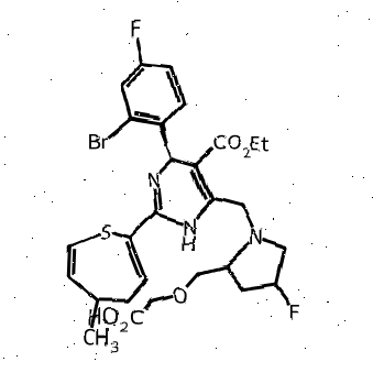 CCOC(=O)C1=C(CN2CC(F)CC2COCC(=O)O)NC(C2=CCC(C)C=CS2)=N[C@H]1c1ccc(F)cc1Br